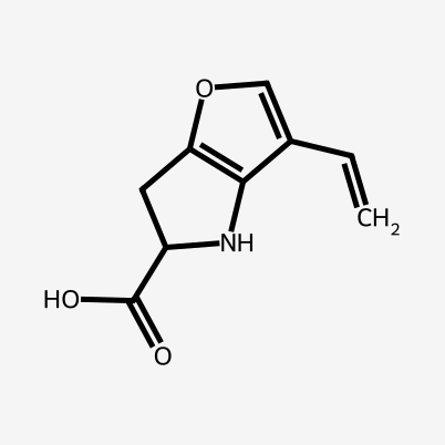 C=Cc1coc2c1NC(C(=O)O)C2